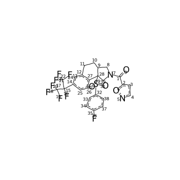 O=C(c1ccno1)N1CC2CCc3cc(C(F)(C(F)(F)F)C(F)(F)F)ccc3C2(S(=O)(=O)c2ccc(F)cc2)C1